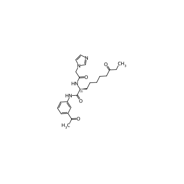 CCC(=O)CCCCC[C@H](NC(=O)Cn1ccnc1)C(=O)Nc1cccc(C(C)=O)c1